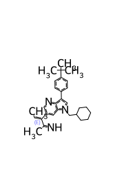 C/C=C(/C(C)=N)c1cnc2c(-c3ccc(C(C)(C)C)cc3)cn(CC3CCCCC3)c2c1